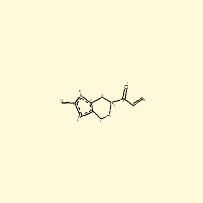 C=CC(=O)N1CCc2nc(C)sc2C1